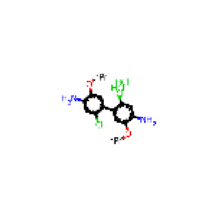 CCCOc1cc(-c2cc(OCCC)c(N)cc2Cl)c(Cl)cc1N.Cl.Cl